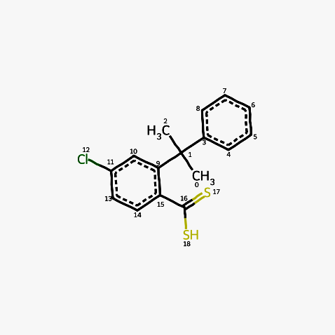 CC(C)(c1ccccc1)c1cc(Cl)ccc1C(=S)S